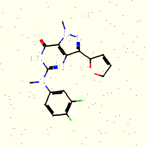 CN(c1ccc(Cl)c(Cl)c1)c1nc2c(C3C=CCO3)nn(C)c2c(=O)[nH]1